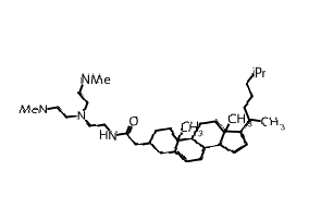 CNCCN(CCNC)CCNC(=O)CC1CCC2(C)C(=CCC3C2CCC2(C)C(C(C)CCCC(C)C)CCC32)C1